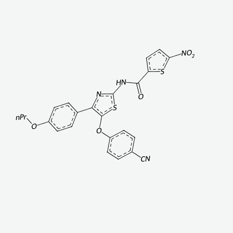 CCCOc1ccc(-c2nc(NC(=O)c3ccc([N+](=O)[O-])s3)sc2Oc2ccc(C#N)cc2)cc1